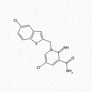 N=c1c(C(N)=O)cc(Cl)cn1Cc1cc2cc(Cl)ccc2s1